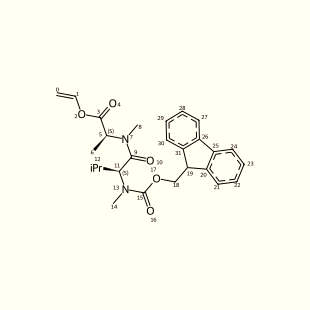 C=COC(=O)[C@H](C)N(C)C(=O)[C@H](C(C)C)N(C)C(=O)OCC1c2ccccc2-c2ccccc21